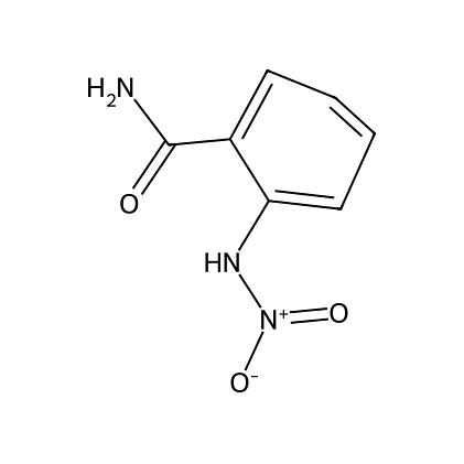 NC(=O)c1ccccc1N[N+](=O)[O-]